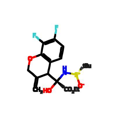 C=C1COc2c(ccc(F)c2F)C1[C@@](O)(N[S@@+]([O-])C(C)(C)C)C(=O)OCC